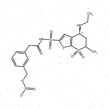 CCN[C@H]1CC(C)S(=O)(=O)c2sc(S(=O)(=O)NC(=O)Cc3cccc(CO[N+](=O)[O-])c3)cc21